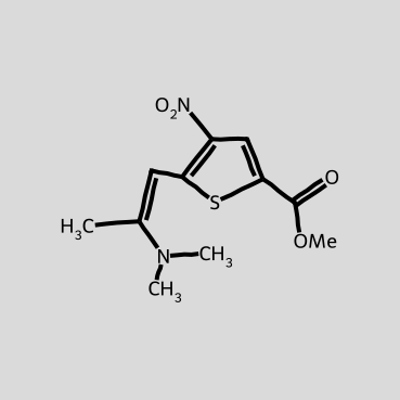 COC(=O)c1cc([N+](=O)[O-])c(C=C(C)N(C)C)s1